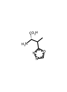 CC(c1nnco1)[C@H](N)C(=O)O